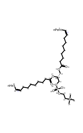 CCCCC/C=C\CCCCCCCC(=O)OC[C@H](COP(=O)([O-])OCC[N+](C)(C)C)OC(=O)CCCCCCC/C=C\CCCCCC